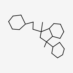 CC1(CCC2CCCCC2)CC(C)(C2CCCCC2)C2CCCCC21